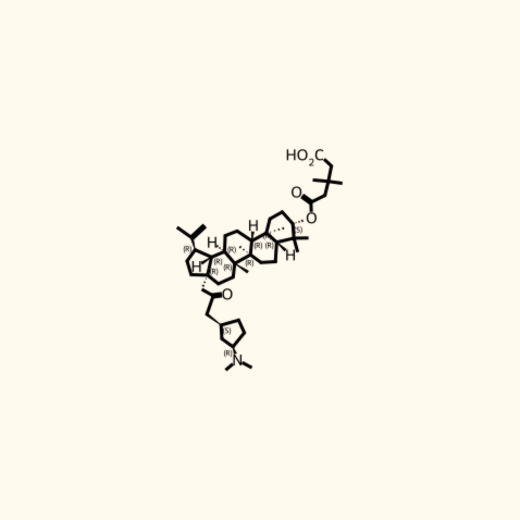 C=C(C)[C@@H]1CC[C@]2(CC(=O)C[C@H]3CC[C@@H](N(C)C)C3)CC[C@]3(C)[C@H](CC[C@@H]4[C@@]5(C)CC[C@H](OC(=O)CC(C)(C)CC(=O)O)C(C)(C)[C@@H]5CC[C@]43C)[C@@H]12